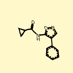 O=C(Nc1oncc1-c1ccccc1)C1CC1